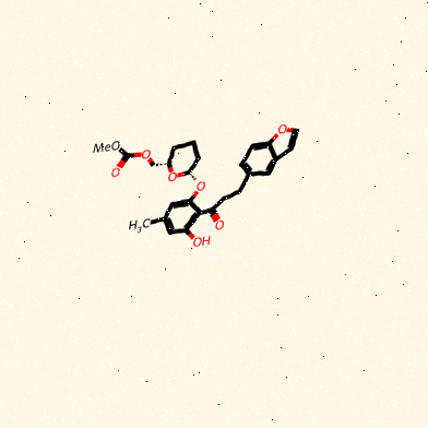 COC(=O)OC[C@@H]1CCC[C@H](Oc2cc(C)cc(O)c2C(=O)CCc2ccc3occc3c2)O1